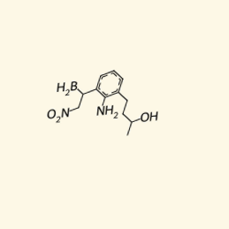 BC(C[N+](=O)[O-])c1cccc(CCC(C)O)c1N